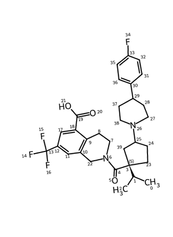 CC(C)[C@]1(C(=O)N2CCc3c(cc(C(F)(F)F)cc3C(=O)O)C2)CCC(N2CCC(c3ccc(F)cc3)CC2)C1